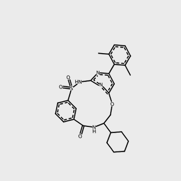 Cc1cccc(C)c1-c1cc2nc(n1)NS(=O)(=O)c1cccc(c1)C(=O)NC(C1CCCCC1)CO2